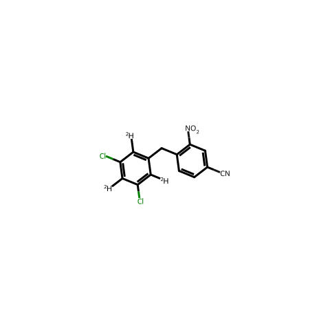 [2H]c1c(Cl)c([2H])c(Cc2ccc(C#N)cc2[N+](=O)[O-])c([2H])c1Cl